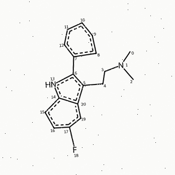 CN(C)CCc1c(-c2ccccc2)[nH]c2ccc(F)cc12